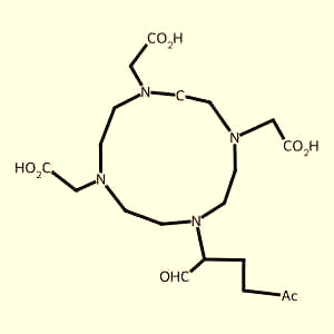 CC(=O)CCC(C=O)N1CCN(CC(=O)O)CCN(CC(=O)O)CCN(CC(=O)O)CC1